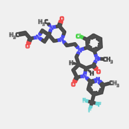 C=CC(=O)N1CC2(CN(CCN3C[C@H]4CC(=O)N(c5cc(C(F)(F)F)cc(C)n5)[C@@H]4C(=O)N(C)c4cccc(Cl)c43)CC(=O)N2C)C1